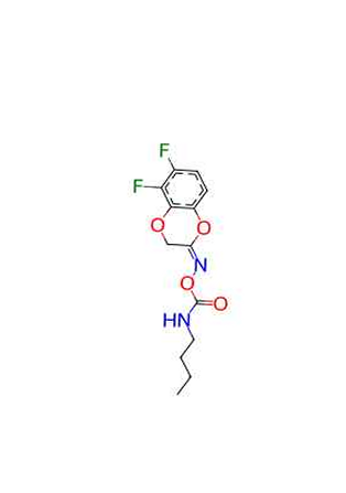 CCCCNC(=O)ON=C1COc2c(ccc(F)c2F)O1